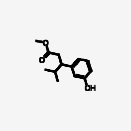 COC(=O)CC(c1cccc(O)c1)C(C)C